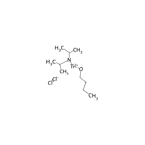 CCCC[O][Ti+2][N](C(C)C)C(C)C.[Cl-].[Cl-]